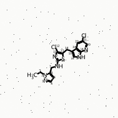 CCn1nccc1CNc1nc(Cl)c(Cc2c[nH]c3ncc(Cl)cc23)s1